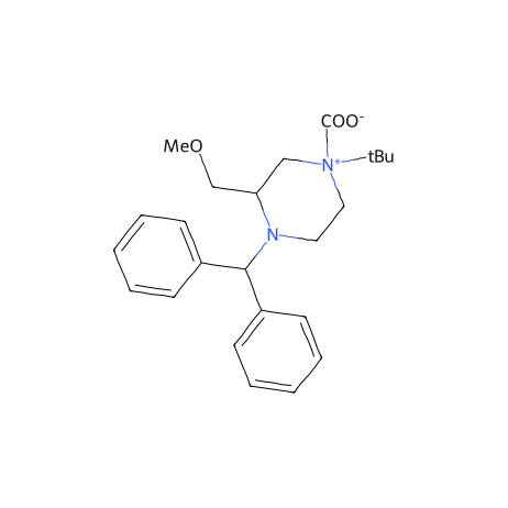 COCC1C[N+](C(=O)[O-])(C(C)(C)C)CCN1C(c1ccccc1)c1ccccc1